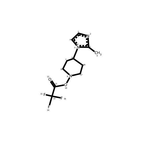 Cc1nccn1C1CCN(OC(=O)C(F)(F)F)CC1